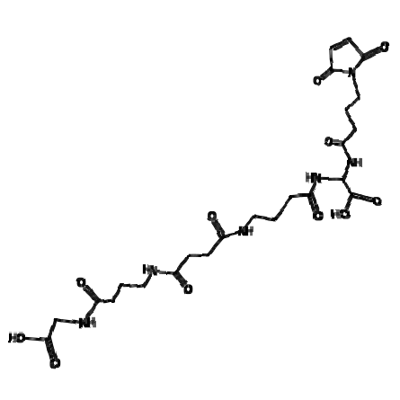 O=C(O)CNC(=O)CCCNC(=O)CCC(=O)NCCCC(=O)NC(NC(=O)CCCN1C(=O)C=CC1=O)C(=O)O